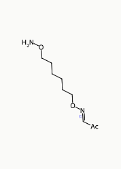 CC(=O)/C=N/OCCCCCCON